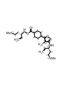 C=C[C@H](CCSC)NOC(=O)C1CCC(c2onc(N[C@H](C=C)CCSC)c2C)CC1